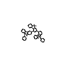 CC1(C)c2ccccc2-c2c(-c3ccc4c(c3)c3ccccc3n4-c3ccccc3)cc(-c3cccc4c3c3ccccc3n4-c3ccccc3)cc21